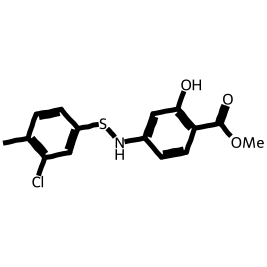 COC(=O)c1ccc(NSc2ccc(C)c(Cl)c2)cc1O